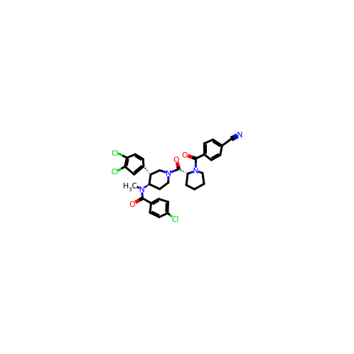 CN(C(=O)c1ccc(Cl)cc1)[C@@H]1CCN(C(=O)[C@H]2CCCCN2C(=O)c2ccc(C#N)cc2)C[C@H]1c1ccc(Cl)c(Cl)c1